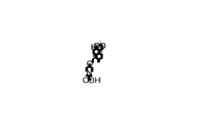 C=C1CCC2[C@]3(C)CO[C@@H](C)O[C@@H]3CC[C@@]2(C)[C@@H]1CCOC1CCN(C(C)(C)C(=O)O)CC1